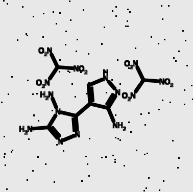 Nc1n[nH]cc1-c1nnc(N)n1N.O=[N+]([O-])C([N+](=O)[O-])[N+](=O)[O-].O=[N+]([O-])C([N+](=O)[O-])[N+](=O)[O-]